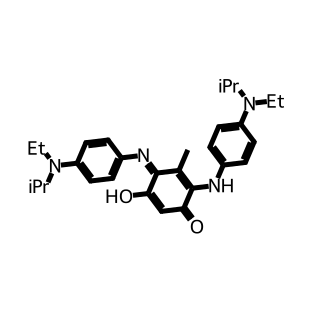 CCN(c1ccc(/N=C2\C(O)=CC(=O)C(Nc3ccc(N(CC)C(C)C)cc3)=C2C)cc1)C(C)C